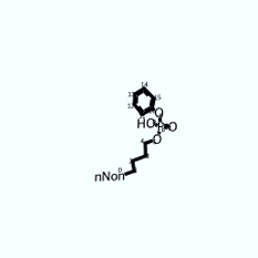 CCCCCCCCCCCCCOP(=O)(O)Oc1ccccc1